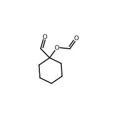 O=COC1(C=O)CCCCC1